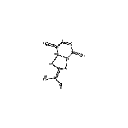 O=C1C=CC(=O)C2CC(=C(Cl)Cl)CC12